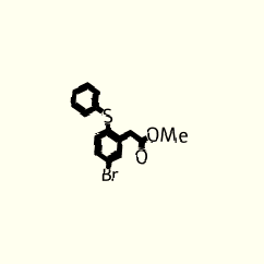 COC(=O)Cc1cc(Br)ccc1Sc1ccccc1